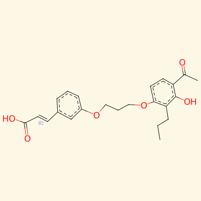 CCCc1c(OCCCOc2cccc(/C=C/C(=O)O)c2)ccc(C(C)=O)c1O